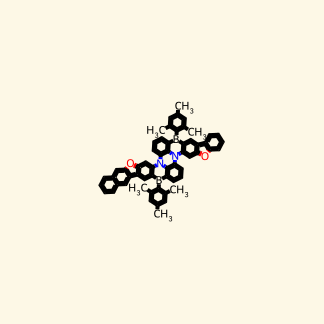 Cc1cc(C)c(B2c3cc4c(cc3N3c5cccc6c5N(c5cc7oc8cc9ccccc9cc8c7cc5B6c5c(C)cc(C)cc5C)c5cccc2c53)oc2ccccc24)c(C)c1